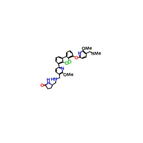 CNCc1ccc(Oc2cccc(-c3cccc(-c4ccc(CNCC5CCC(=O)N5)c(OC)n4)c3Cl)c2Cl)nc1OC